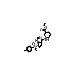 CCOC(=O)C1CCCN(Nc2ncnc3c2ccn3S(=O)(=O)c2ccc(C)cc2)C1